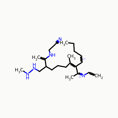 C=C/N=C(/C)C(/C=C\CCC)=C(C)CCCC(CNNC)C(=C)NCC#N